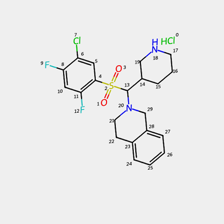 Cl.O=S(=O)(c1cc(Cl)c(F)cc1F)C(C1CCCNC1)N1CCc2ccccc2C1